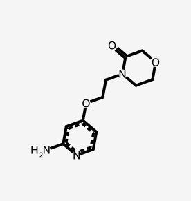 Nc1cc(OCCN2CCOCC2=O)ccn1